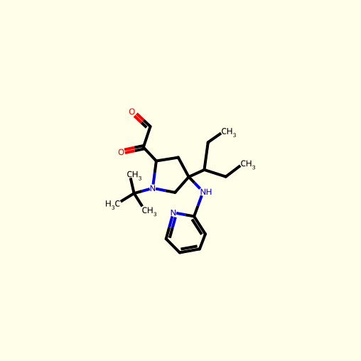 CCC(CC)C1(Nc2ccccn2)CC(C(=O)C=O)N(C(C)(C)C)C1